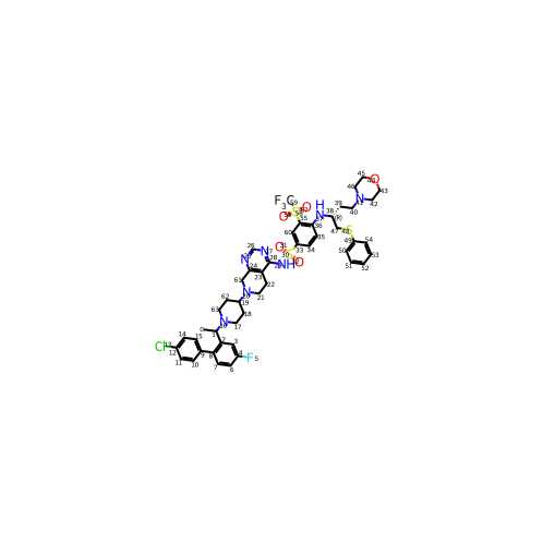 CC(c1cc(F)ccc1-c1ccc(Cl)cc1)N1CCC(N2CCc3c(ncnc3NS(=O)(=O)c3ccc(N[C@H](CCN4CCOCC4)CSc4ccccc4)c(S(=O)(=O)C(F)(F)F)c3)C2)CC1